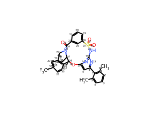 Cc1cccc(C)c1-c1cc2nc(n1)NS(=O)(=O)c1cccc(c1)C(=O)N1Cc3cc(C(F)(F)F)ccc3[C@@H](O2)[C@H]1CC(C)C